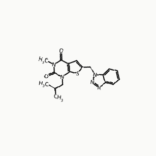 CC(C)Cn1c(=O)n(C)c(=O)c2cc(Cn3nnc4ccccc43)sc21